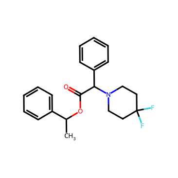 CC(OC(=O)C(c1ccccc1)N1CCC(F)(F)CC1)c1ccccc1